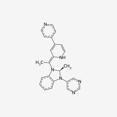 C/C(=C1\C=C(c2ccncc2)C=CN1)N1c2ccccc2N(c2cncnc2)[C@@H]1C